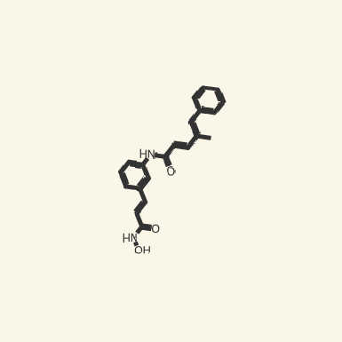 CC(C=CC(=O)Nc1cccc(C=CC(=O)NO)c1)=Cc1ccccc1